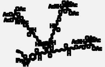 C#CCCOP(OC1CCC(C(=O)NCCC(C(=O)NCCCCCC(=O)NCCOCCOC2OC(COC(C)=O)C(OC(C)=O)C(OC(C)=O)C2NC(C)=O)N(CC(=O)NCCCCCC(=O)NCCOCCOC2OC(COC(C)=O)C(OC(C)=O)C(OC(C)=O)C2NC(C)=O)CC(=O)NCCCCCC(=O)NCCOCCOC2OC(COC(C)=O)C(OC(C)=O)C(OC(C)=O)C2NC(C)=O)CC1)N(C(C)C)C(C)C